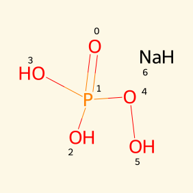 O=P(O)(O)OO.[NaH]